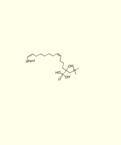 CCCCC/C=C\CCCCC/C=C\CCCC(O)(C[N+](C)(C)C)P(=O)(O)O